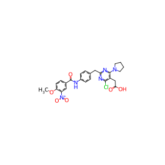 COc1ccc(C(=O)Nc2ccc(Cc3nc(Cl)c(CC(=O)O)c(N4CCCC4)n3)cc2)cc1[N+](=O)[O-]